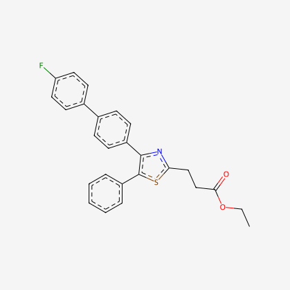 CCOC(=O)CCc1nc(-c2ccc(-c3ccc(F)cc3)cc2)c(-c2ccccc2)s1